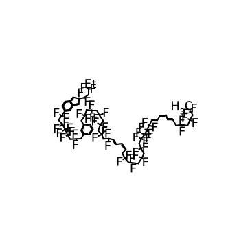 CCC(F)(F)CC(F)(F)C1C=c2ccc(C(F)(F)CC(F)(F)C(F)(F)C(F)(F)CC(F)(F)Cc3cccc(CC(F)(F)CC(F)(F)CC(F)(F)CC(F)(F)CC(F)(F)CC(F)(F)/C=C/C=C\CC(F)(F)CC(F)(F)CC(F)(F)CC(F)(F)CC(F)(F)C(F)(F)C(F)(F)C(F)(F)CC/C=C\C=C\CC(F)(F)CC(F)(F)CC(C)(F)F)c3)cc2=C1